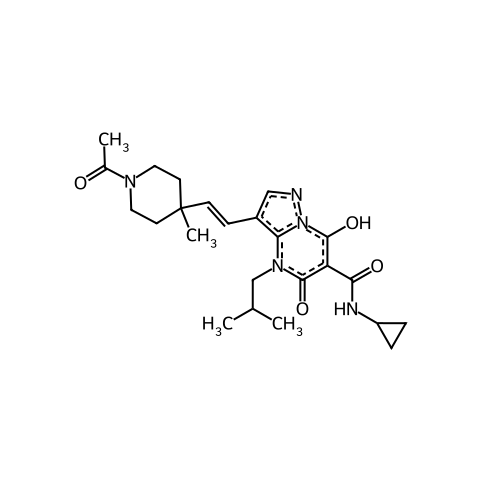 CC(=O)N1CCC(C)(C=Cc2cnn3c(O)c(C(=O)NC4CC4)c(=O)n(CC(C)C)c23)CC1